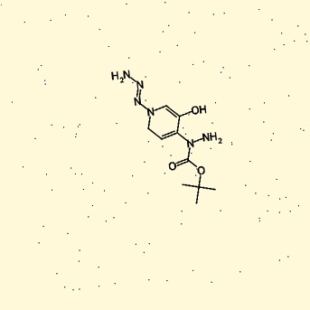 CC(C)(C)OC(=O)N(N)C1=CCN(N=NN)C=C1O